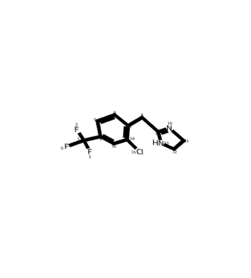 FC(F)(F)c1ccc(CC2=NCCN2)c(Cl)c1